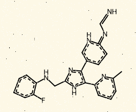 Cc1cccc(-c2[nH]c(CNc3ccccc3F)nc2-c2cc/c(=N/C=N)[nH]c2)n1